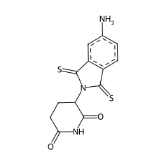 Nc1ccc2c(c1)C(=S)N(C1CCC(=O)NC1=O)C2=S